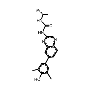 Cc1cc(-c2ccc3ncc(NC(=O)N[C@H](C)C(C)C)nc3c2)cc(C)c1O